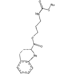 CC(C)(C)OC(=O)NCCCOC(=O)C1CCc2ccccc2N1